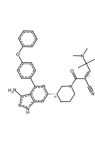 CN(C)C(C)(C)/C=C(/C#N)C(=O)N1CCC[C@H](c2cc3[nH]nc(N)c3c(-c3ccc(Oc4ccccc4)cc3)n2)C1